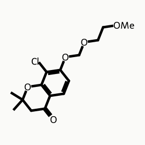 COCCOCOc1ccc2c(c1Cl)OC(C)(C)CC2=O